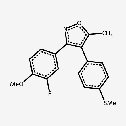 COc1ccc(-c2noc(C)c2-c2ccc(SC)cc2)cc1F